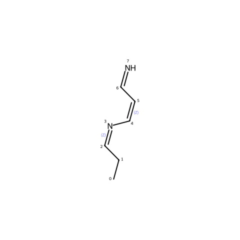 CC/C=N\C=C/C=N